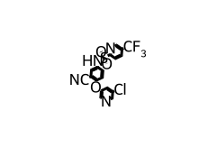 N#Cc1cc(NS(=O)(=O)c2ccc(C(F)(F)F)cn2)ccc1Oc1cncc(Cl)c1